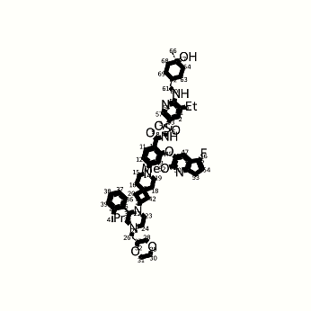 CCc1cc(S(=O)(=O)NC(=O)c2ccc(N3CCC4(CC3)CC(N3CCN(C[C@@H]5COCCO5)C[C@H]3c3ccccc3C(C)C)C4)cc2Oc2cc3c(nc2OC)CC=C3F)cnc1NC[C@H]1CC[C@](C)(O)CC1